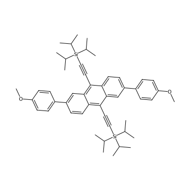 COc1ccc(-c2ccc3c(C#C[Si](C(C)C)(C(C)C)C(C)C)c4cc(-c5ccc(OC)cc5)ccc4c(C#C[Si](C(C)C)(C(C)C)C(C)C)c3c2)cc1